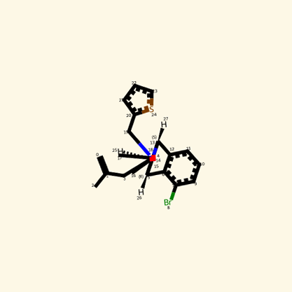 C=C(C)C[C@H]1[C@H]2c3c(Br)cccc3[C@H](CC2(C)C)N1Cc1cccs1